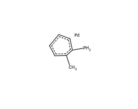 Cc1ccccc1P.[Pd]